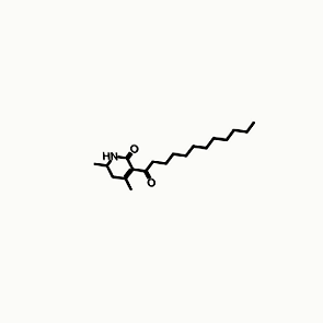 CCCCCCCCCCCC(=O)C1=C(C)CC(C)NC1=O